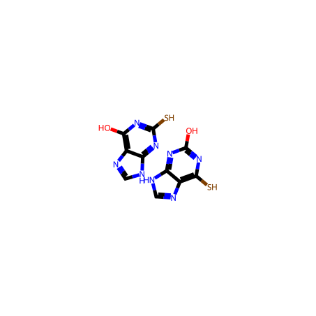 Oc1nc(S)c2nc[nH]c2n1.Oc1nc(S)nc2[nH]cnc12